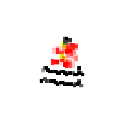 CCCCCCCCCC(C)C.CCCCCCCCCC(C)C.OP(O)(O)=S.OP(O)(O)=S.[Zn]